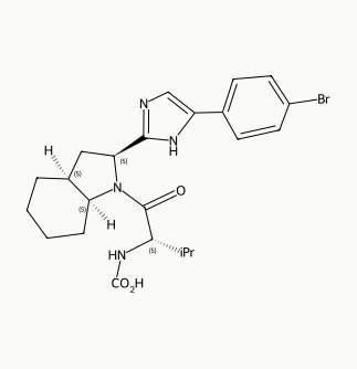 CC(C)[C@H](NC(=O)O)C(=O)N1[C@H](c2ncc(-c3ccc(Br)cc3)[nH]2)C[C@@H]2CCCC[C@@H]21